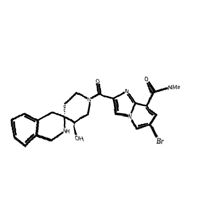 CNC(=O)c1cc(Br)cn2cc(C(=O)N3CC[C@]4(Cc5ccccc5CN4)[C@H](O)C3)nc12